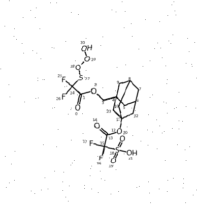 O=C(OCC12CC3CC(C1)CC(OC(=O)C(F)(F)S(=O)(=O)O)(C3)C2)C(F)(F)SOOO